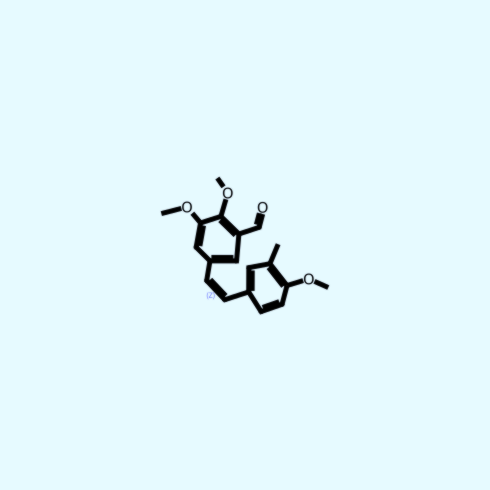 COc1ccc(/C=C\c2cc(C=O)c(OC)c(OC)c2)cc1C